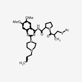 C/C=C/CN1CCN(c2nc(NC(=O)C3CCCN3C(=O)C(C)CSC(C)=O)c3cc(OC)c(OC)cc3n2)CC1